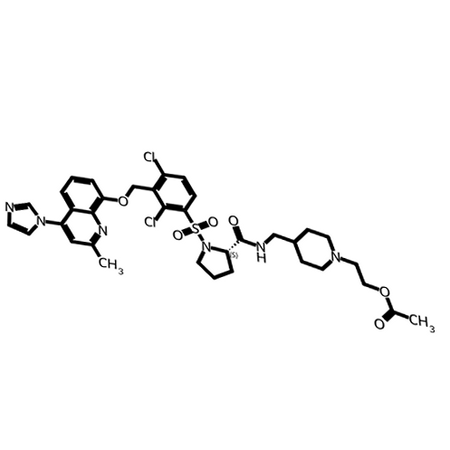 CC(=O)OCCN1CCC(CNC(=O)[C@@H]2CCCN2S(=O)(=O)c2ccc(Cl)c(COc3cccc4c(-n5ccnc5)cc(C)nc34)c2Cl)CC1